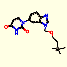 C[Si](C)(C)CCOCn1cnc2ccc(-n3ccc(=O)[nH]c3=O)cc21